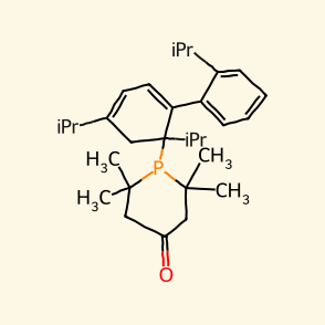 CC(C)C1=CC=C(c2ccccc2C(C)C)C(C(C)C)(P2C(C)(C)CC(=O)CC2(C)C)C1